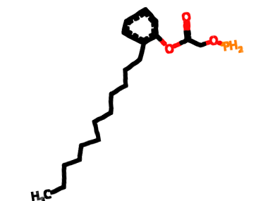 CCCCCCCCCCCCc1ccccc1OC(=O)COP